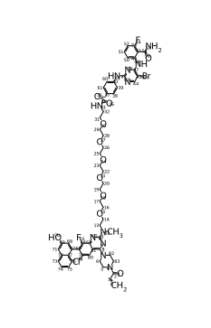 C=CC(=O)N1CCN(c2nc(N(C)CCOCCOCCOCCOCCOCCOCCNS(=O)(=O)c3ccc(Nc4ncc(Br)c(Nc5cccc(F)c5C(N)=O)n4)cc3)nc3c(F)c(-c4cc(O)cc5ccccc45)c(Cl)cc23)CC1